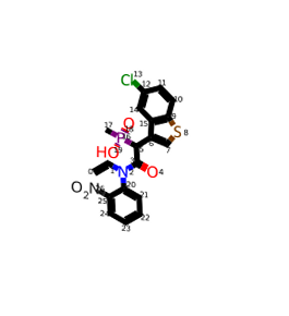 C=CN(C(=O)C(c1csc2ccc(Cl)cc12)P(C)(=O)O)c1ccccc1[N+](=O)[O-]